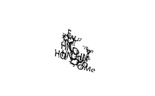 COc1ccc(NC(=O)Nc2cc(C)nc3c(F)cccc23)cc1C(=O)NCC1CC1.Cl